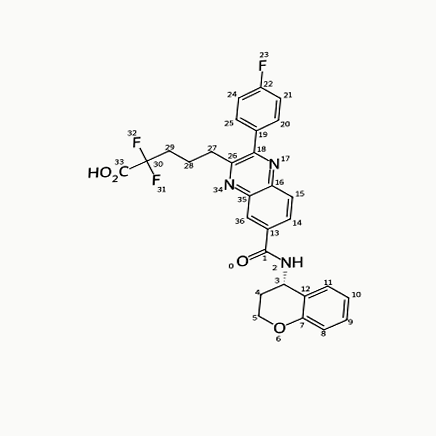 O=C(N[C@H]1CCOc2ccccc21)c1ccc2nc(-c3ccc(F)cc3)c(CCCC(F)(F)C(=O)O)nc2c1